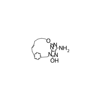 Nc1nc2nc3c1nc(O)n3Cc1ccc(cc1)C/C=C/CCCCO2